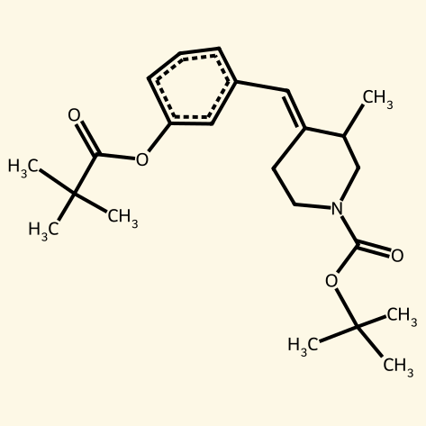 CC1CN(C(=O)OC(C)(C)C)CC/C1=C\c1cccc(OC(=O)C(C)(C)C)c1